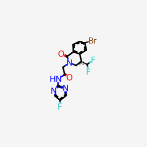 O=C(CN1C[C@H](C(F)F)c2cc(Br)ccc2C1=O)Nc1ncc(F)cn1